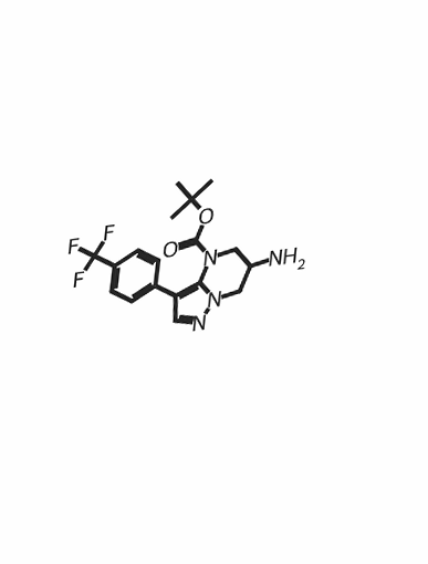 CC(C)(C)OC(=O)N1CC(N)Cn2ncc(-c3ccc(C(F)(F)F)cc3)c21